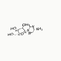 C=C1N=C(N)C=NN1[C@@H]1O[C@H](CO)[C@H](O)C1O